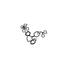 COC(=O)CN1CCC(=C2c3ccc(OS(=O)(=O)OC)cc3CCc3cccnc32)CC1